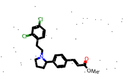 COC(=O)C=Cc1ccc(C2CCCN2CCc2ccc(Cl)cc2Cl)cc1